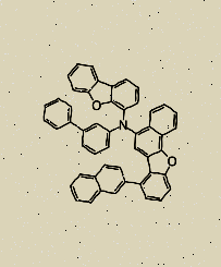 c1ccc(-c2cccc(N(c3cc4c(oc5cccc(-c6ccc7ccccc7c6)c54)c4ccccc34)c3cccc4c3oc3ccccc34)c2)cc1